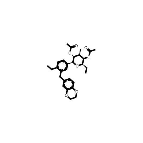 CCc1ccc([C@@H]2O[C@H](CC)C(OC(C)=O)[C@H](C)[C@H]2OC(C)=O)cc1Cc1ccc2c(c1)OCCO2